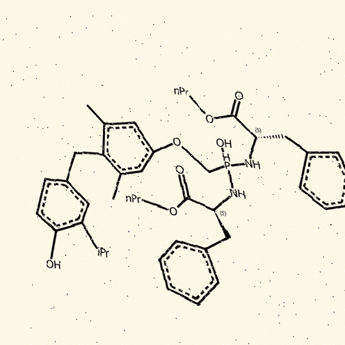 CCCOC(=O)[C@H](Cc1ccccc1)N[PH](O)(COc1cc(C)c(Cc2ccc(O)c(C(C)C)c2)c(C)c1)N[C@@H](Cc1ccccc1)C(=O)OCCC